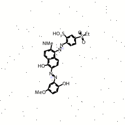 CCS(=O)(=O)c1ccc(/N=N/c2c(NC)ccc3c(O)c(/N=N/c4cc(OC)ccc4O)ccc23)c(S(=O)(=O)O)c1